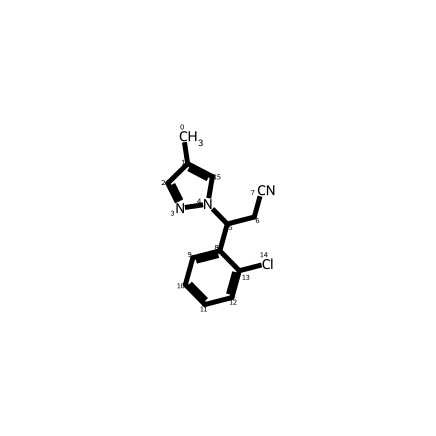 Cc1cnn(C(CC#N)c2ccccc2Cl)c1